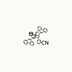 C=C(/C=C(/c1cccc(C#N)c1)c1cc(-c2cc3ccccc3c3ccccc23)c2ccccc2c1)c1cc2ccccc2c2ccccc12